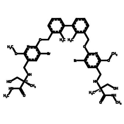 CNC(=O)[C@](C)(CO)NCc1cc(Br)c(OCc2cccc(-c3cccc(COc4nc(OC)c(CN[C@@](C)(CO)C(=O)NC)cc4Br)c3C)c2C)nc1OC